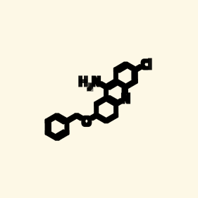 Nc1c2c(nc3cc(Cl)ccc13)CCC(OCc1ccccc1)C2